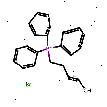 C/C=C/CC[P+](c1ccccc1)(c1ccccc1)c1ccccc1.[Br-]